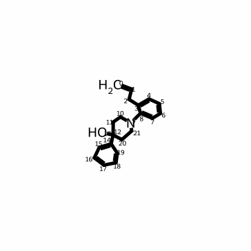 C=CCc1ccccc1N1CCC(O)(c2ccccc2)CC1